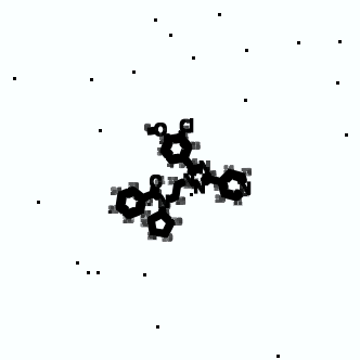 COc1ccc(-c2nc(-c3ccncc3)nn2CCN(C(=O)c2ccccc2)C2CCCC2)cc1Cl